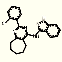 Clc1ccccc1-c1nc2c(c(Nc3n[nH]c4ccccc34)n1)CCCCC2